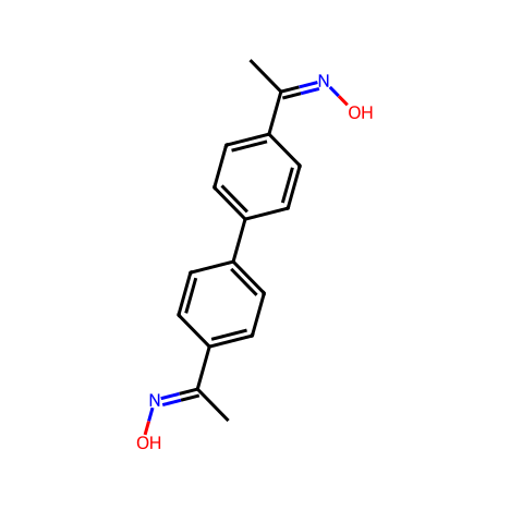 C/C(=N/O)c1ccc(-c2ccc(/C(C)=N/O)cc2)cc1